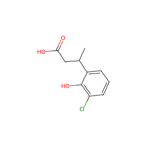 CC(CC(=O)O)c1cccc(Cl)c1O